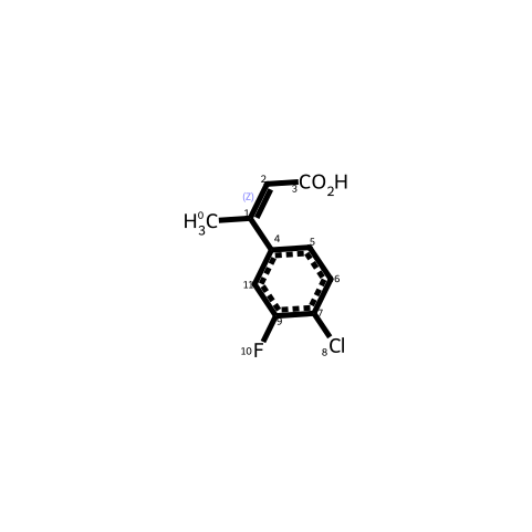 C/C(=C/C(=O)O)c1ccc(Cl)c(F)c1